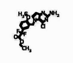 CCOC(=O)C(F)(F)c1ccc(OC)c(Cn2ccc3nc(N)nc(Cl)c32)c1